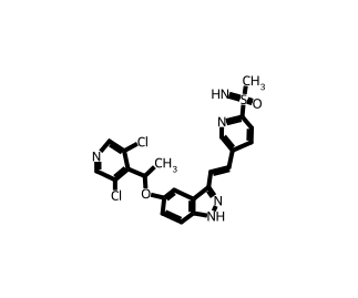 CC(Oc1ccc2[nH]nc(/C=C/c3ccc(S(C)(=N)=O)nc3)c2c1)c1c(Cl)cncc1Cl